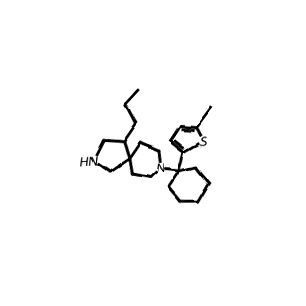 CCCC1CNCC12CCN(C1(c3ccc(C)s3)CCCCC1)CC2